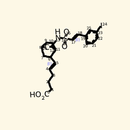 O=C(O)CCC/C=C/C1CC2CCC1C(NS(=O)(=O)/C=C/c1cccc(I)c1)C2